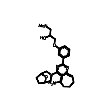 CNCC(O)COc1cccc(-c2nc(N3CC4CCC(C3)O4)c3c(n2)=CCCCC=3N)c1